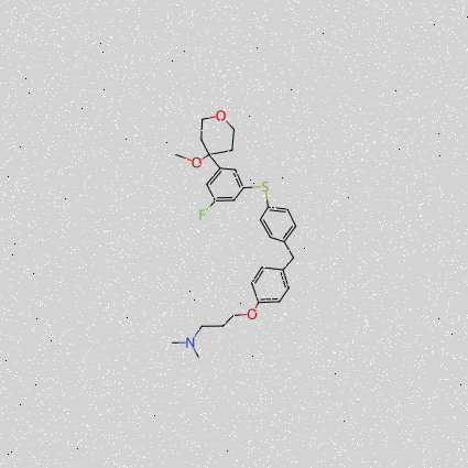 COC1(c2cc(F)cc(Sc3ccc(Cc4ccc(OCCCN(C)C)cc4)cc3)c2)CCOCC1